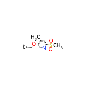 Cc1cc(S(C)(=O)=O)ncc1OCC1CC1